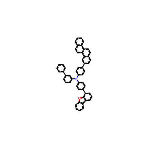 c1ccc(-c2cccc(N(c3ccc(-c4ccc5ccc6c7ccccc7ccc6c5c4)cc3)c3ccc(-c4cccc5c4oc4ccccc45)cc3)c2)cc1